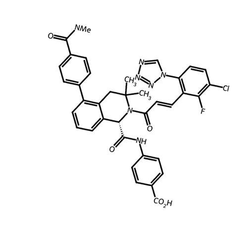 CNC(=O)c1ccc(-c2cccc3c2CC(C)(C)N(C(=O)C=Cc2c(-n4cnnn4)ccc(Cl)c2F)[C@@H]3C(=O)Nc2ccc(C(=O)O)cc2)cc1